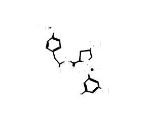 CC(C)(C)Oc1ccc(CC(NC(=O)C2C[C@@H](N)CN2S(=O)(=O)c2cc(Cl)cc(Cl)c2)C(=O)O)cc1